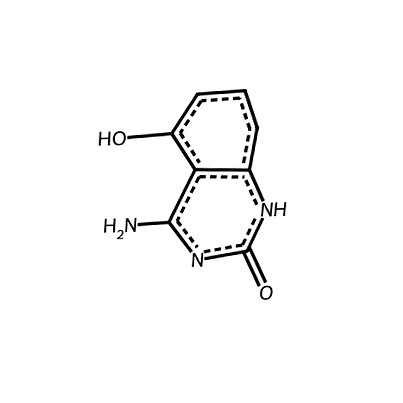 Nc1nc(=O)[nH]c2cccc(O)c12